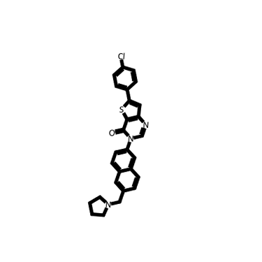 O=c1c2sc(-c3ccc(Cl)cc3)cc2ncn1-c1ccc2cc(CN3CCCC3)ccc2c1